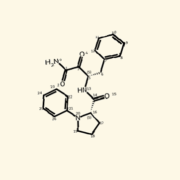 NC(=O)C(=O)[C@H](Cc1ccccc1)NC(=O)[C@@H]1CCCN1c1ccccc1